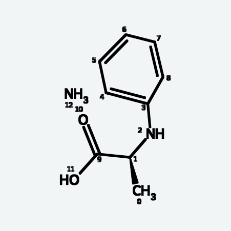 C[C@H](Nc1ccccc1)C(=O)O.N